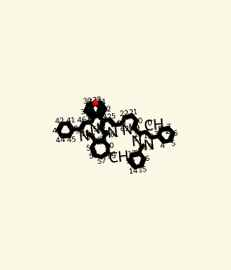 C=C1C(c2ccccc2)=NC(c2ccccc2)=NC1c1cccc(-c2cc(-c3ccccc3)cc(C3=C(c4nc(-c5ccccc5)cc(-c5ccccc5)n4)C=CCC(C)C3)n2)n1